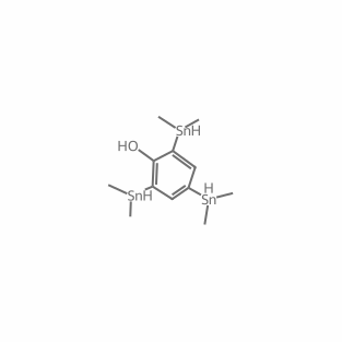 [CH3][SnH]([CH3])[c]1c[c]([SnH]([CH3])[CH3])c(O)[c]([SnH]([CH3])[CH3])c1